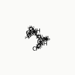 CC(C)(C)OC(=O)Nc1ccccc1NC(=O)C=Cc1ccc(C2CN(C(C)(C)C)CC2C(=O)Nc2ccc(Cl)cc2)cc1